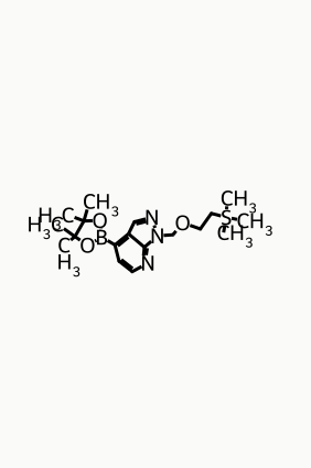 CC1(C)OB(c2ccnc3c2cnn3COCCS(C)(C)C)OC1(C)C